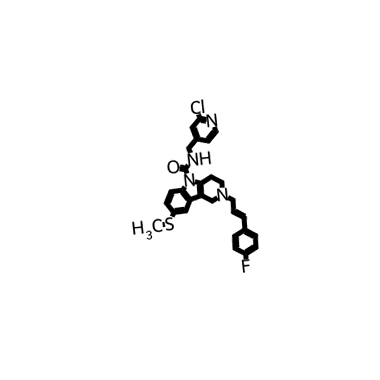 CSc1ccc2c(c1)c1c(n2C(=O)NCc2ccnc(Cl)c2)CCN(CC=Cc2ccc(F)cc2)C1